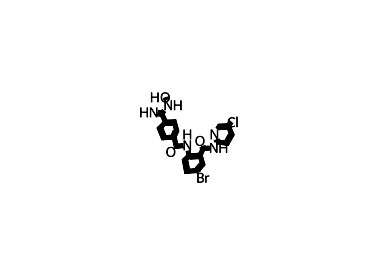 N=C(NO)c1ccc(C(=O)Nc2ccc(Br)cc2C(=O)Nc2ccc(Cl)cn2)cc1